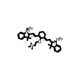 CCCN1/C(=C/C=C2\CCCC(/C=C/C3=[N+](CCC)c4ccccc4C3(C)C)=C2OCC[N+](C)(C)C)C(C)(C)c2ccccc21